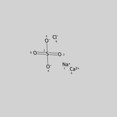 O=S(=O)([O-])[O-].[Ca+2].[Cl-].[Na+]